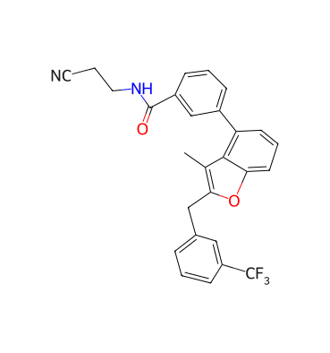 Cc1c(Cc2cccc(C(F)(F)F)c2)oc2cccc(-c3cccc(C(=O)NCCC#N)c3)c12